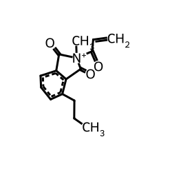 C=CC(=O)[N+]1(C)C(=O)c2cccc(CCC)c2C1=O